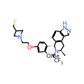 COc1cc(OCCN2CC(CF)C2)ccc1[C@@H]1c2ccc3[nH]ncc3c2C[C@@H](C)N1CC(F)(F)F